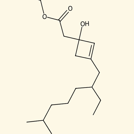 CCOC(=O)CC1(O)C=C(CC(CC)CCCC(C)C)C1